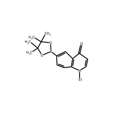 CCn1ccc(=O)c2cc(B3OC(C)(C)C(C)(C)O3)ccc21